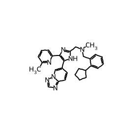 Cc1cccc(-c2nc(CN(C)Cc3ccccc3C3CCCC3)[nH]c2-c2ccc3ncnn3c2)n1